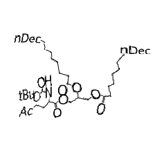 CCCCCCCCCCCCCCCCCC(=O)OCC(COC(=O)C(CCC(C)=O)NC(=O)OC(C)(C)C)OC(=O)CCCCCCCCCCCCCCCCC